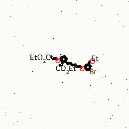 CCOCc1cc(Br)cc(OCCCCCCc2cccc(OCCCC(=O)OCC)c2CCC(=O)OCC)c1